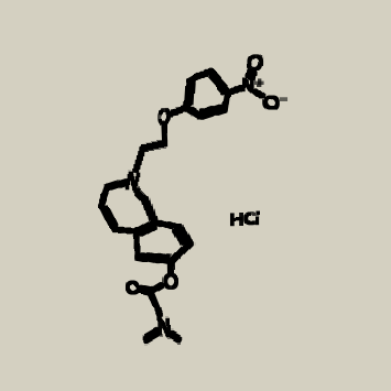 CN(C)C(=O)Oc1ccc2c(c1)C=CCN(CCOc1ccc([N+](=O)[O-])cc1)C2.Cl